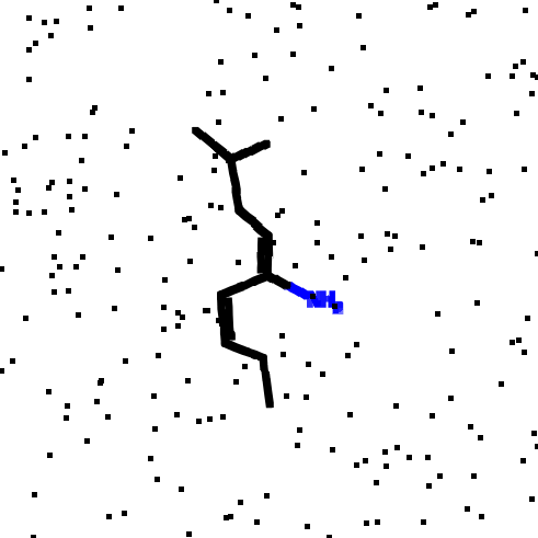 CC/C=C\C(N)=C/CC(C)C